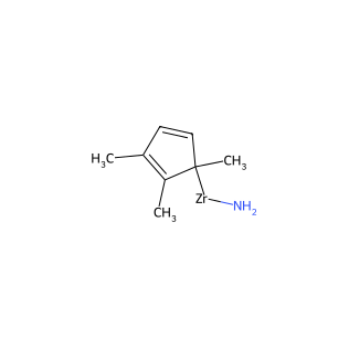 CC1=C(C)[C](C)([Zr][NH2])C=C1